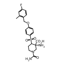 Cc1cc(F)ccc1COc1ccc(S(=O)(=O)C2CCN(C(N)=O)CC2(N)C(=O)O)cc1